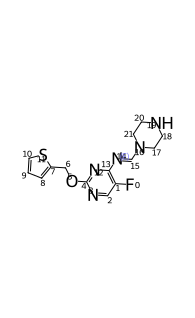 Fc1cnc(OCc2cccs2)nc1/N=C/N1CCNCC1